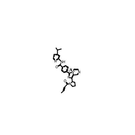 CC#CC(=O)N1CCCC1C1=C2C=NC=C[N+]2(N)C(c2ccc(C(=O)Nc3cc(C(C)C)ccn3)cc2)=N1